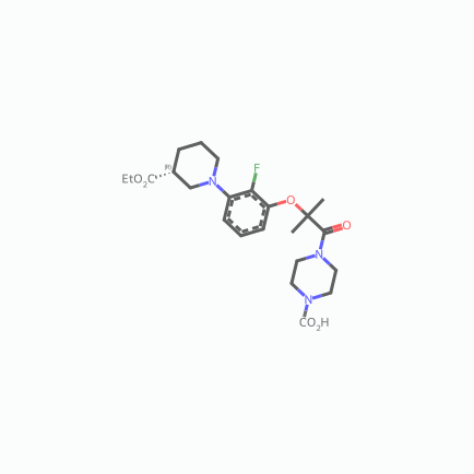 CCOC(=O)[C@@H]1CCCN(c2cccc(OC(C)(C)C(=O)N3CCN(C(=O)O)CC3)c2F)C1